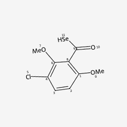 COc1ccc(Cl)c(OC)c1C(=O)[SeH]